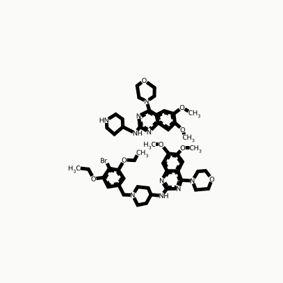 CCOc1cc(CN2CCC(Nc3nc(N4CCOCC4)c4cc(OC)c(OC)cc4n3)CC2)cc(OCC)c1Br.COc1cc2nc(NC3CCNCC3)nc(N3CCOCC3)c2cc1OC